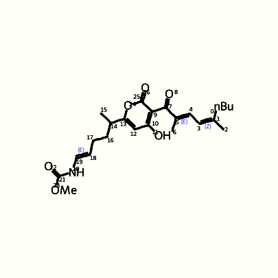 CCCC/C(C)=C\C=C(/C)C(=O)c1c(O)cc(C(C)CC/C=C/NC(=O)OC)oc1=O